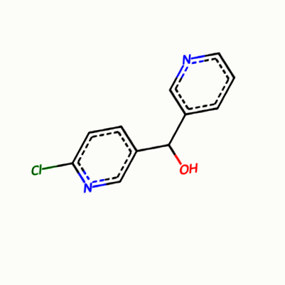 OC(c1cccnc1)c1ccc(Cl)nc1